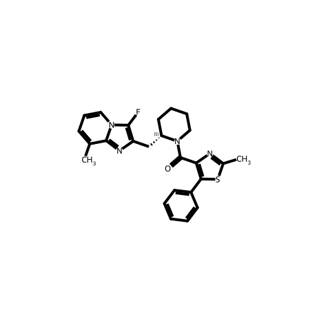 Cc1nc(C(=O)N2CCCC[C@H]2Cc2nc3c(C)cccn3c2F)c(-c2ccccc2)s1